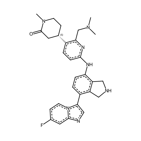 CN(C)Cc1nc(Nc2ccc(-c3cnc4cc(F)ccn34)c3c2CNC3)ccc1[C@H]1CCN(C)C(=O)C1